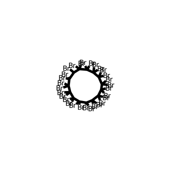 BrC1C(Br)(Br)C(Br)(Br)C(Br)(Br)C(Br)(Br)C(Br)(Br)C(Br)(Br)C(Br)(Br)C(Br)(Br)C(Br)(Br)C(Br)(Br)C(Br)(Br)C(Br)(Br)C(Br)(Br)C1(Br)Br